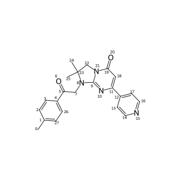 Cc1ccc(C(=O)CN2c3nc(-c4ccncc4)cc(=O)n3CC2(C)C)cc1